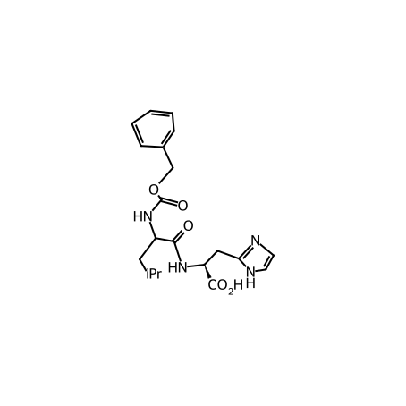 CC(C)CC(NC(=O)OCc1ccccc1)C(=O)N[C@@H](Cc1ncc[nH]1)C(=O)O